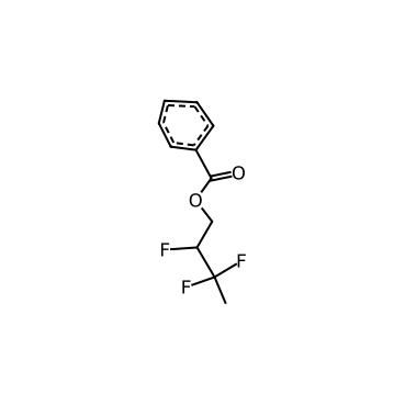 CC(F)(F)C(F)COC(=O)c1ccccc1